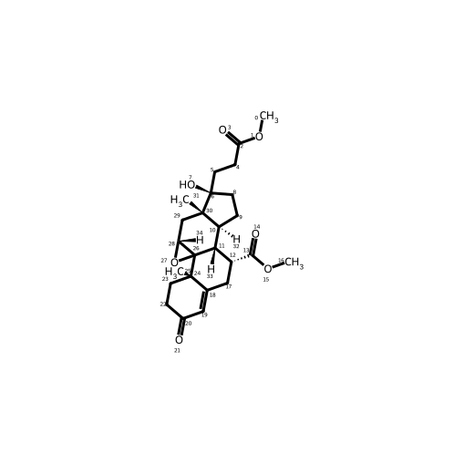 COC(=O)CC[C@]1(O)CC[C@H]2[C@@H]3[C@H](C(=O)OC)CC4=CC(=O)CC[C@]4(C)C34O[C@@H]4C[C@@]21C